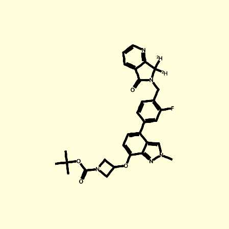 [2H]C1([2H])c2ncccc2C(=O)N1Cc1ccc(-c2ccc(OC3CN(C(=O)OC(C)(C)C)C3)c3nn(C)cc23)cc1F